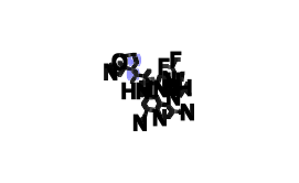 C=C(/C(C)=C(\C=C/C)c1cnco1)[C@H](Nc1cc(C#N)c2ncc(C#N)c(NCC(C)(C)C)c2c1)C1=CN(C2(C(F)F)CC2)NN1